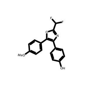 COc1ccc(-c2oc(C(F)F)nc2-c2ccc(O)cc2)cc1